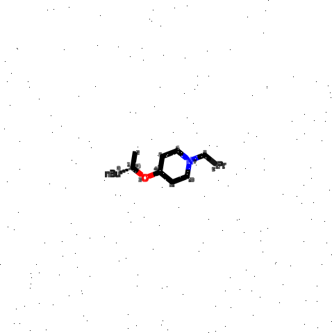 CCCC[C@H](C)OC1CCN(CC(C)C)CC1